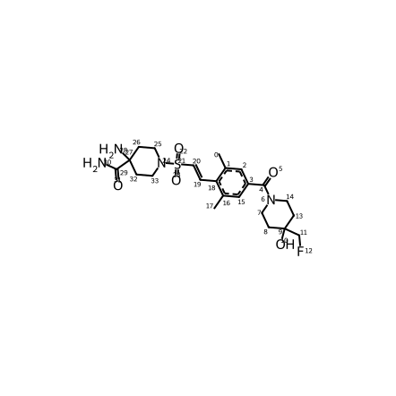 Cc1cc(C(=O)N2CCC(O)(CF)CC2)cc(C)c1/C=C/S(=O)(=O)N1CCC(N)(C(N)=O)CC1